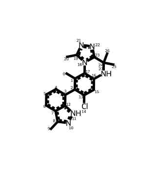 Cc1c(-c2cccc3c(C)n[nH]c23)c(Cl)cc2c1-n1c(C)nnc1C(C)(C)N2